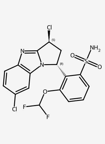 NS(=O)(=O)c1cccc(OC(F)F)c1[C@H]1C[C@H](Cl)c2nc3ccc(Cl)cc3n21